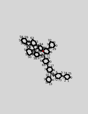 c1ccc(-c2ccc(N(c3ccccc3)c3ccc(-c4ccc(N(c5ccc(-c6ccccc6)cc5)c5cccc(C6(c7ccccc7)c7ccccc7-n7c8ccccc8c8cccc6c87)c5)cc4)cc3)cc2)cc1